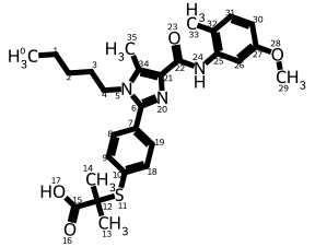 CCCCCn1c(-c2ccc(SC(C)(C)C(=O)O)cc2)nc(C(=O)Nc2cc(OC)ccc2C)c1C